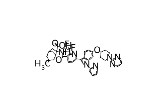 CC1CC2CC(C1)C(NC(=O)c1ccc(-c3cn(-c4ccccn4)c4cc(OC5CCN(c6ncccn6)CC5)ccc34)nc1C(F)(F)F)(C(=O)O)C2